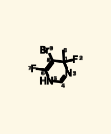 CC1(F)N=CNC(F)=C1Br